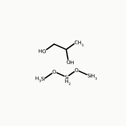 CC(O)CO.[SiH3]O[SiH2]O[SiH3]